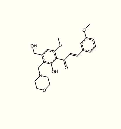 COc1cccc(/C=C/C(=O)c2c(OC)cc(CO)c(CN3CCOCC3)c2O)c1